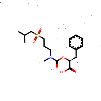 CC(C)CS(=O)(=O)CCCN(C)C(=O)O[C@@H](Cc1ccccc1)C(=O)O